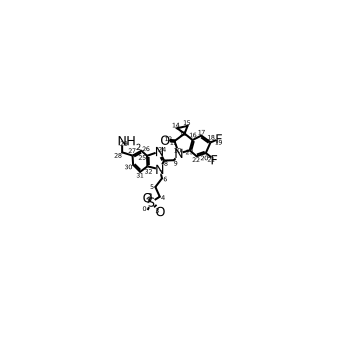 CS(=O)(=O)CCCn1c(CN2C(=O)C3(CC3)c3cc(F)c(F)cc32)nc2cc(CN)ccc21